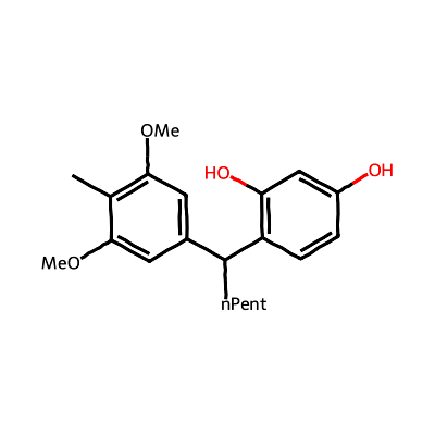 CCCCCC(c1cc(OC)c(C)c(OC)c1)c1ccc(O)cc1O